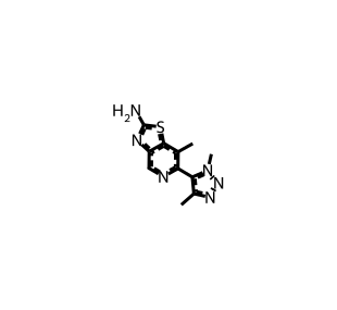 Cc1nnn(C)c1-c1ncc2nc(N)sc2c1C